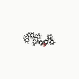 CC1(C)c2ccccc2-c2c1ccc1ccc(-c3c4ccccc4c(-c4ccc5oc6cc7c8ccccc8c8ccccc8c7cc6c5c4)c4ccccc34)cc21